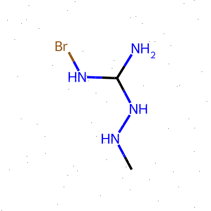 CNNC(N)NBr